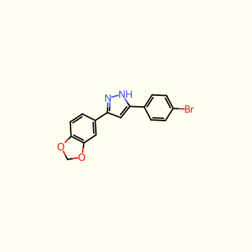 Brc1ccc(-c2cc(-c3ccc4c(c3)OCO4)n[nH]2)cc1